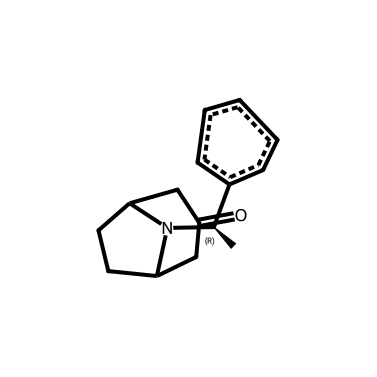 C[C@H](c1ccccc1)N1C2CCC1CC(=O)C2